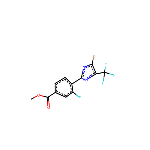 COC(=O)c1ccc(-c2nc(Br)c(C(F)(F)F)[nH]2)c(F)c1